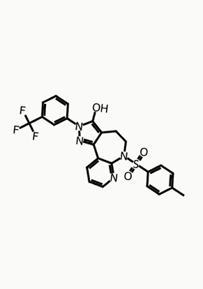 Cc1ccc(S(=O)(=O)N2CCc3c(nn(-c4cccc(C(F)(F)F)c4)c3O)-c3cccnc32)cc1